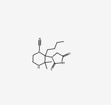 CCCCC1(N2CC(=O)NC2=S)N(C#N)CCNC1(C)C